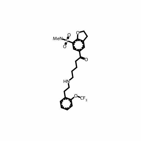 CNS(=O)(=O)c1cc(C(=O)CCCCNCCc2ccccc2OC(F)(F)F)cc2c1OCC2